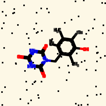 Cc1c(C)c(C(C)(C)C)c(O)c(C)c1Cn1c(=O)[nH]c(=O)[nH]c1=O